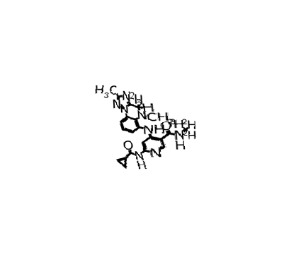 [2H]C([2H])([2H])NC(=O)c1cnc(NC(=O)C2CC2)cc1Nc1cccc2c1N(C)C([2H])([2H])c1nc(C)nn1-2